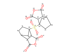 O=C1OC(=O)C2C1C1CCC2(S(=O)(=O)C23CCC(C2)C2C(=O)OC(=O)C23)C1